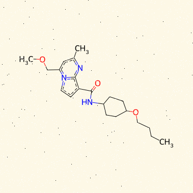 CCCCOC1CCC(NC(=O)c2ccn3c(COC)cc(C)nc23)CC1